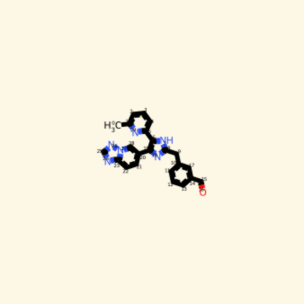 Cc1cccc(-c2[nH]c(Cc3cccc(C=O)c3)nc2-c2ccc3ncnn3c2)n1